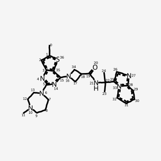 Cc1cc2nc(N3CCCN(C)CC3)nc(N3CC(C(=O)NC(C)(C)c4cnc5ccccn45)C3)c2s1